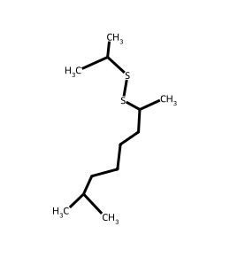 CC(C)CCCCC(C)SSC(C)C